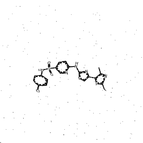 Cc1nc(C)c(-c2csc(Nc3ccc(S(=O)(=O)Nc4ccc(Cl)cc4)cn3)n2)s1